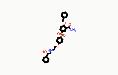 NC(=O)c1cc(S(=O)(=O)c2ccc(OCCNC[C@@H](O)c3ccccc3)cc2)ccc1OCc1ccccc1